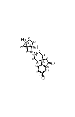 O=C1CC2(CCN([C@@H]3CC45C[C@H]4CC[C@@H]35)CC2)c2ccc(Cl)cc21